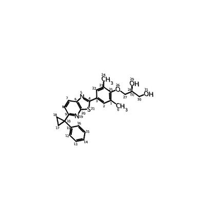 Cc1cc(-c2nc3ccc(C4(c5ccccc5)CC4)nc3s2)cc(C)c1OC[C@@H](O)CO